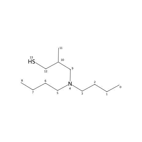 CCCCN(CCCC)CC(C)CS